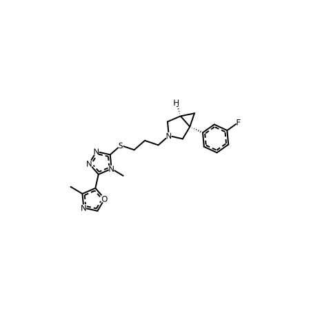 Cc1ncoc1-c1nnc(SCCCN2C[C@H]3C[C@@]3(c3cccc(F)c3)C2)n1C